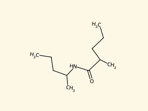 CCCC(C)NC(=O)C(C)CCC